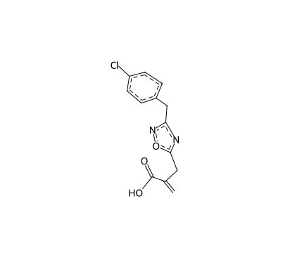 C=C(Cc1nc(Cc2ccc(Cl)cc2)no1)C(=O)O